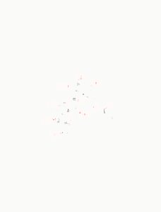 O=CC(=O)OC[C@H]1O[C@H](O[C@]2(CO)O[C@H](CO)[C@@H](O)[C@@H]2O)[C@H](O)[C@@H](O)[C@@H]1O